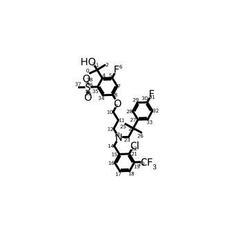 CC(C)(O)c1c(F)cc(OCCCN(Cc2cccc(C(F)(F)F)c2Cl)CC(C)(C)c2ccc(F)cc2)cc1S(C)(=O)=O